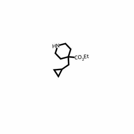 CCOC(=O)C1(CC2CC2)CCNCC1